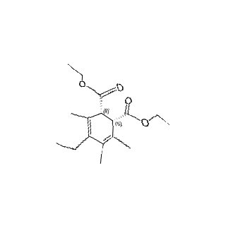 CCOC(=O)[C@@H]1C(C)=C(C)C(CC)=C(C)[C@@H]1C(=O)OCC